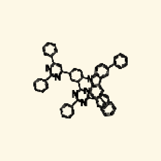 c1ccc(-c2ccc3c(c2)c2cc(-c4ccccc4)ccc2n3-c2ccc(-c3cc(-c4ccccc4)nc(-c4ccccc4)n3)cc2-c2nc(-c3ccccc3)nc(-c3ccccc3)n2)cc1